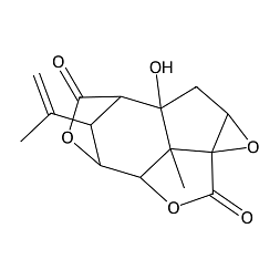 C=C(C)C1C2OC(=O)C1C1(O)CC3OC34C(=O)OC2C14C